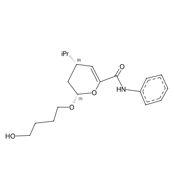 CC(C)[C@@H]1C=C(C(=O)Nc2ccccc2)O[C@H](OCCCCO)C1